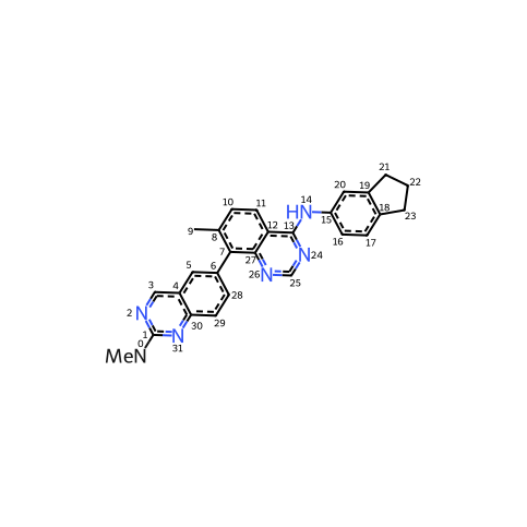 CNc1ncc2cc(-c3c(C)ccc4c(Nc5ccc6c(c5)CCC6)ncnc34)ccc2n1